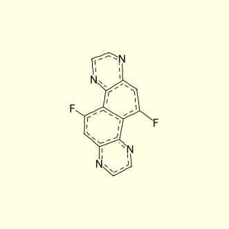 Fc1cc2nccnc2c2c(F)cc3nccnc3c12